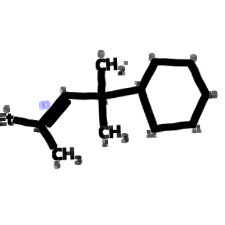 [CH2]C(C)(/C=C(\C)CC)C1CCCCC1